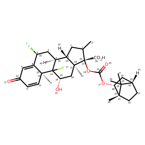 CC1C[C@H]2[C@@H]3C[C@H](F)C4=CC(=O)C=C[C@]4(C)C3(F)[C@@H](O)C[C@]2(C)[C@]1(OC(=O)O[C@@H]1C[C@@H]2CC[C@@]1(C)C2(C)C)C(=O)O